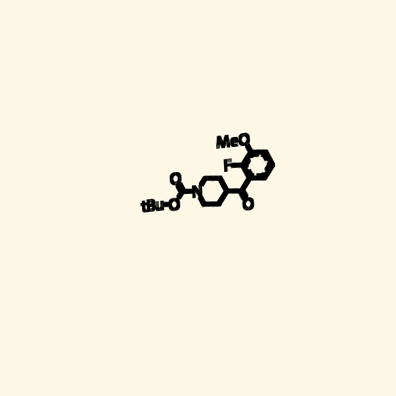 COc1cccc(C(=O)C2CCN(C(=O)OC(C)(C)C)CC2)c1F